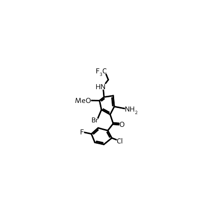 COc1c(NCC(F)(F)F)cc(N)c(C(=O)c2cc(F)ccc2Cl)c1Br